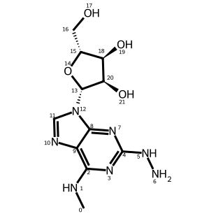 CNc1nc(NN)nc2c1ncn2[C@@H]1O[C@H](CO)[C@@H](O)[C@H]1O